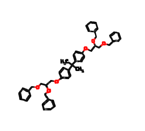 CC(C)(c1ccc(OCC(COCc2ccccc2)OCc2ccccc2)cc1)c1ccc(OCC(COCc2ccccc2)OCc2ccccc2)cc1